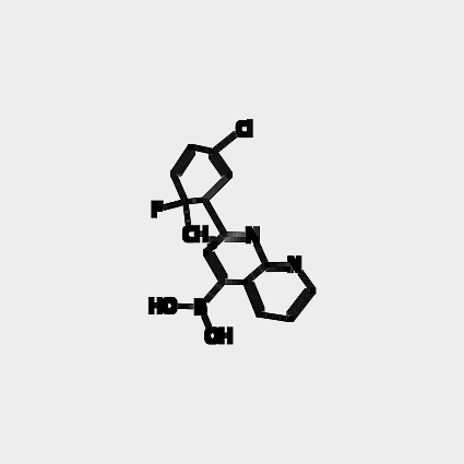 CC1(F)C=CC(Cl)=CC1c1cc(B(O)O)c2cccnc2n1